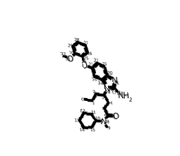 CCCC(CCC(=O)N(C)C1CCCCC1)n1c(N)nc2ccc(Oc3ccccc3OC)cc21